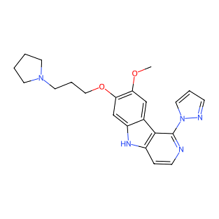 COc1cc2c(cc1OCCCN1CCCC1)[nH]c1ccnc(-n3cccn3)c12